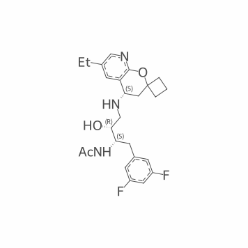 CCc1cnc2c(c1)[C@@H](NC[C@@H](O)[C@H](Cc1cc(F)cc(F)c1)NC(C)=O)CC1(CCC1)O2